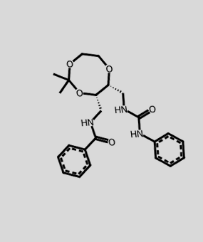 CC1(C)OCCO[C@H](CNC(=O)Nc2ccccc2)[C@H](CNC(=O)c2ccccc2)O1